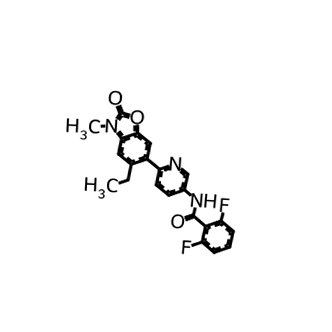 CCc1cc2c(cc1-c1ccc(NC(=O)c3c(F)cccc3F)cn1)oc(=O)n2C